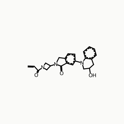 C=CC(=O)N1CC(N2Cc3ccc(N4CC(O)Cc5ccccc54)cc3C2=O)C1